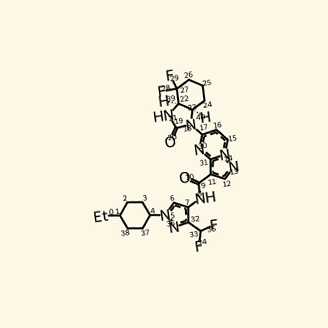 CCC1CCC(n2cc(NC(=O)c3cnn4ccc(N5C(=O)N[C@@H]6[C@H]5CCCC6(F)F)nc34)c(C(F)F)n2)CC1